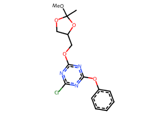 COC1(C)OCC(COc2nc(Cl)nc(Oc3ccccc3)n2)O1